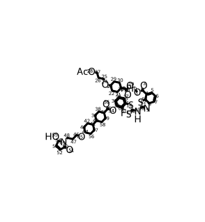 CCCOC(=O)C1=CC=CC2N=C(NC(=S)Sc3c(OC(=O)C4CCC(OCCCOC(C)=O)CC4)ccc(OC(=O)C4CCC(C5CCC(OCCCN6C(=O)C=CC6O)CC5)CC4)c3F)SC12